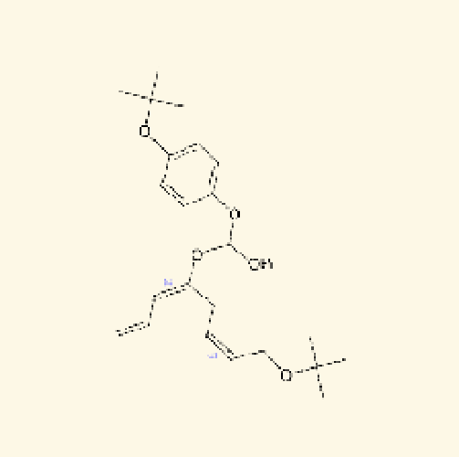 C=C/C=C(\C/C=C\COC(C)(C)C)OC(O)Oc1ccc(OC(C)(C)C)cc1